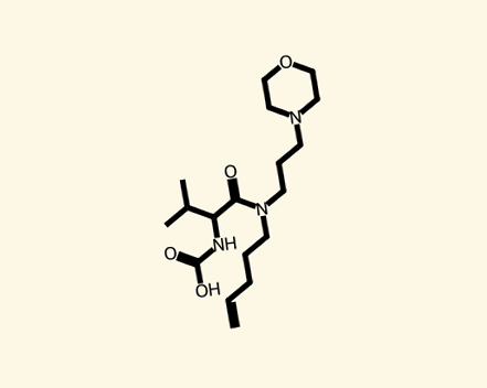 C=CCCCN(CCCN1CCOCC1)C(=O)C(NC(=O)O)C(C)C